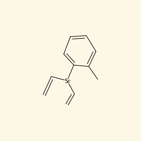 C=C[Si](C=C)c1ccccc1C